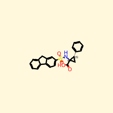 O=C(O)[C@@]1(NS(=O)(=O)c2ccc3c(c2)Cc2ccccc2-3)C[C@H]1c1ccccc1